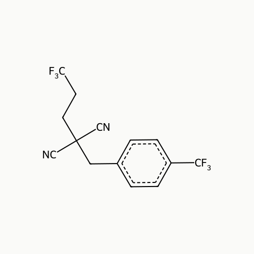 N#CC(C#N)(CCC(F)(F)F)Cc1ccc(C(F)(F)F)cc1